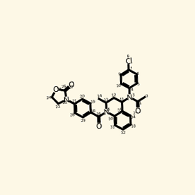 CC(=O)N(c1ccc(Cl)cc1)C1CC(C)N(C(=O)c2ccc(N3CCOC3=O)cc2)c2ccccc21